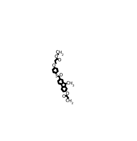 C=COC(=O)CCOc1ccc(SC(=O)c2ccc3c(c2)C(C)c2cc(OC(=O)C=C)ccc2-3)cc1